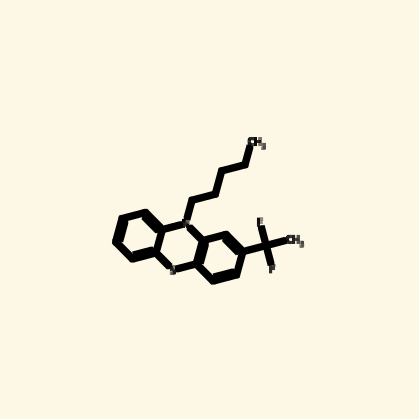 CCCCCN1c2ccccc2Sc2ccc(C(C)(F)F)cc21